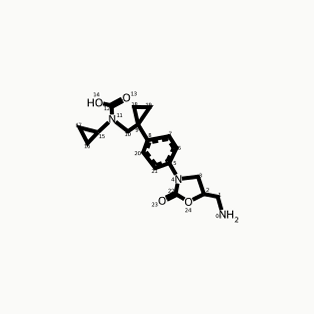 NCC1CN(c2ccc(C3(CN(C(=O)O)C4CC4)CC3)cc2)C(=O)O1